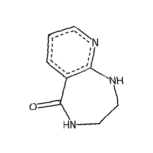 O=C1NCCNc2ncccc21